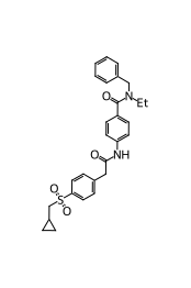 CCN(Cc1ccccc1)C(=O)c1ccc(NC(=O)Cc2ccc(S(=O)(=O)CC3CC3)cc2)cc1